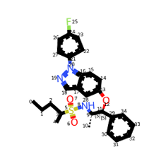 CCCC(C)S(=O)(=O)N[C@@H](C)[C@@H](Oc1ccc2c(cnn2-c2ccc(F)cc2)c1)c1ccccc1